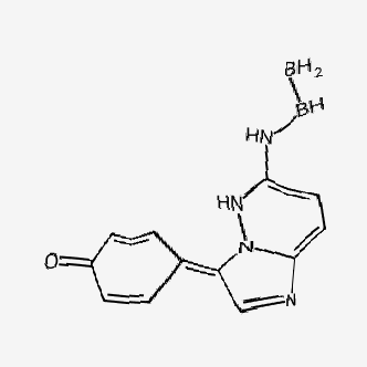 BBNC1=CC=c2ncc(=C3C=CC(=O)C=C3)n2N1